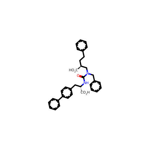 O=C(O)[C@@H](CCc1ccccc1)CN(Cc1ccccc1)C(=O)N[C@@H](Cc1ccc(-c2ccccc2)cc1)C(=O)O